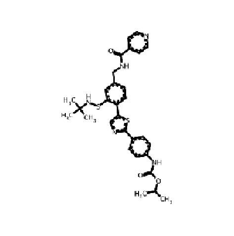 CC(C)OC(=O)Nc1ccc(-c2ncc(-c3ccc(CNC(=O)c4ccncc4)cc3SNC(C)(C)C)s2)cc1